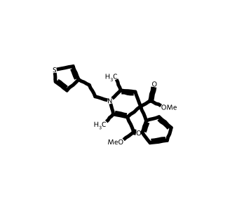 COC(=O)C1=C(C)N(CCc2ccsc2)C(C)=CC1(C(=O)OC)c1ccccc1